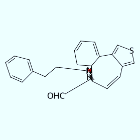 O=CC1C=C2C=Cc3cscc3C3=CC=CCC23NN1CCc1ccccc1